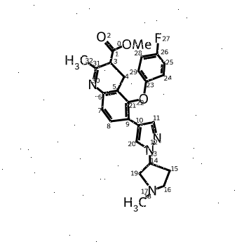 COC(=O)C1Cc2c(ccc(-c3cnn(C4CCN(C)C4)c3)c2Oc2ccc(F)cc2)N=C1C